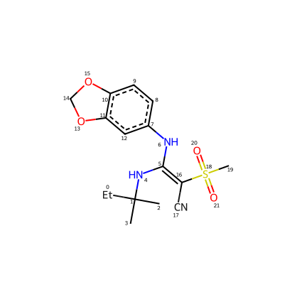 CCC(C)(C)NC(Nc1ccc2c(c1)OCO2)=C(C#N)S(C)(=O)=O